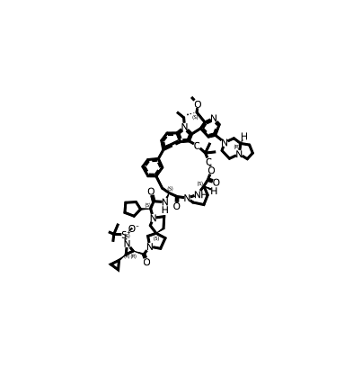 CCn1c(-c2cc(N3CCN4CCC[C@@H]4C3)cnc2[C@H](C)OC)c2c3cc(ccc31)-c1cccc(c1)C[C@H](NC(=O)[C@H](C1CCCC1)N1CC[C@]3(CCN(C(=O)[C@H]4[C@@H](C5CC5)N4[S@+]([O-])C(C)(C)C)C3)C1)C(=O)N1CCC[C@H](N1)C(=O)OCC(C)(C)C2